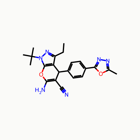 CCc1nn(C(C)(C)C)c2c1C(c1ccc(-c3nnc(C)o3)cc1)C(C#N)=C(N)O2